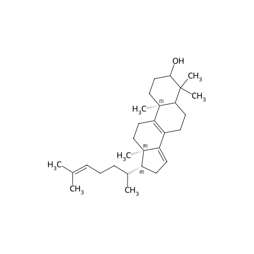 CC(C)=CCCC(C)[C@H]1CC=C2C3=C(CC[C@@]21C)[C@@]1(C)CCC(O)C(C)(C)C1CC3